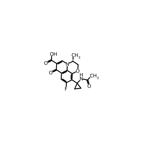 CC(=O)NC1(c2c(F)cc3c(=O)c(C(=O)O)cn4c3c2OC[C@@H]4C)CC1